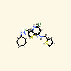 N[C@@H]1CCCCC[C@H]1c1sc2c(NCc3cccs3)cc(Cl)nc2c1Cl